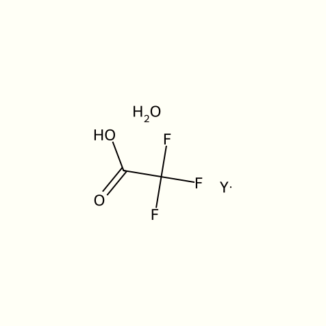 O.O=C(O)C(F)(F)F.[Y]